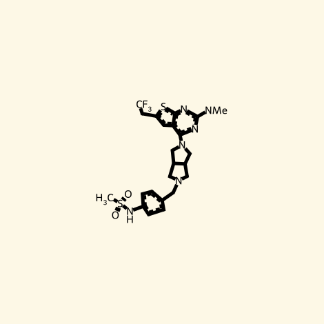 CNc1nc(N2CC3CN(Cc4ccc(NS(C)(=O)=O)cc4)CC3C2)c2cc(CC(F)(F)F)sc2n1